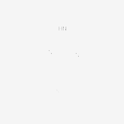 CNc1ncc(SC)cn1